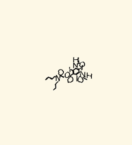 CCCCN(CCCC)C(=O)COC(=O)c1c(I)c(NC(C)=O)c(I)c(NC(C)=O)c1I